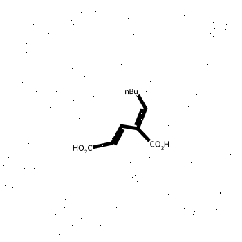 CCCCC=C(C=CC(=O)O)C(=O)O